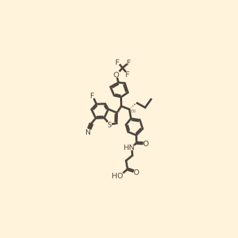 CCC[C@H](c1ccc(C(=O)NCCC(=O)O)cc1)C(c1ccc(OC(F)(F)F)cc1)c1csc2c(C#N)cc(F)cc12